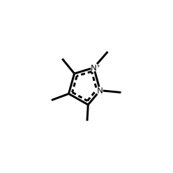 Cc1c(C)n(C)[n+](C)c1C